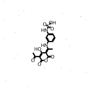 CC(=O)C1=C(O)C(=C(C)Nc2cccc(NS(=O)(=O)O)c2)C(=O)OC1=O